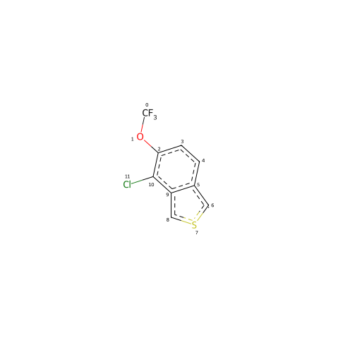 FC(F)(F)Oc1ccc2[c]scc2c1Cl